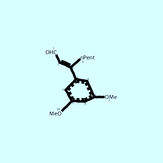 CCCCCC(=CC=O)c1cc(OC)cc(OC)c1